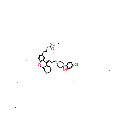 O=NC(=O)CCCc1ccc2c(c1)/C(=C/CCN1CCC(O)(c3ccc(Cl)cc3)CC1)C1=CC=CCC=C1CO2